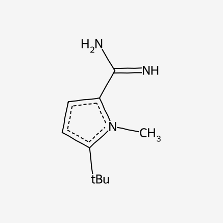 Cn1c(C(=N)N)ccc1C(C)(C)C